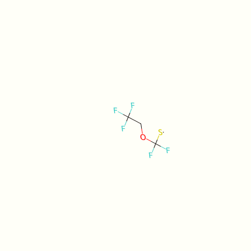 FC(F)(F)COC(F)(F)[S]